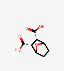 O=C(O)[C@@H]1C2CCC(O2)[C@@H]1C(=O)O